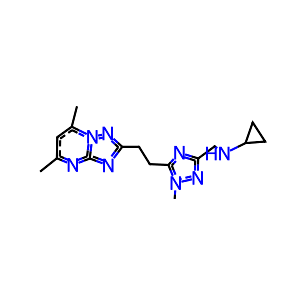 Cc1cc(C)n2nc(CCc3nc(CNC4CC4)nn3C)nc2n1